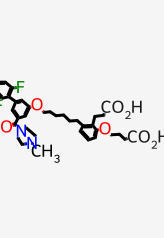 CN1CCN(C(=O)c2cc(OCCCCCCc3cccc(OCCCC(=O)O)c3CCC(=O)O)cc(-c3c(F)cccc3F)c2)CC1